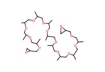 CC(COCC1CO1)OCC(C)OCC(C)OCC(C)OCC(C)OCC(C)OCC(C)OCC(C)OCC(C)OCC(C)OCC1CO1